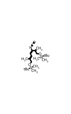 C=C(CO[Si](C)(C)C(C)(C)C)/C(=C\C=C(/C)CO[Si](C)(C)C(C)(C)C)N=C=O